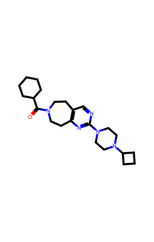 O=C(C1CCCCC1)N1CCc2cnc(N3CCN(C4CCC4)CC3)nc2CC1